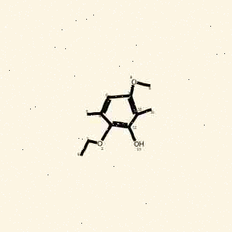 CCOc1c(C)cc(OC)c(C)c1O